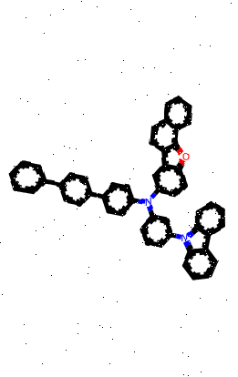 c1ccc(-c2ccc(-c3ccc(N(c4cccc(-n5c6ccccc6c6ccccc65)c4)c4ccc5oc6c7ccccc7ccc6c5c4)cc3)cc2)cc1